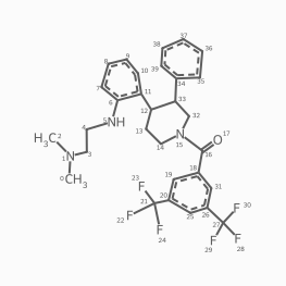 CN(C)CCNc1ccccc1C1CCN(C(=O)c2cc(C(F)(F)F)cc(C(F)(F)F)c2)CC1c1ccccc1